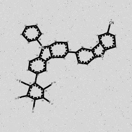 N#Cc1ccc2oc3ccc(-c4ccc5c(c4)c4cc(-c6c(F)c(F)c(F)c(F)c6F)ccc4n5-c4ccccc4)cc3c2c1